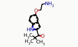 CC(C)(C)C(=O)c1cc2cc(OCCN)ccc2[nH]1